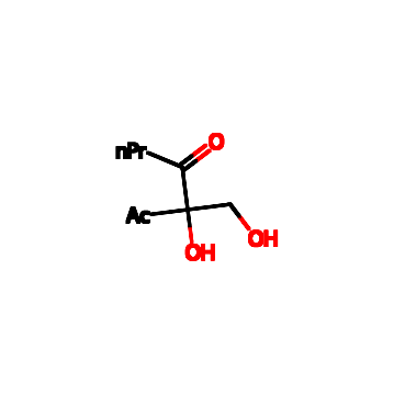 CCCC(=O)C(O)(CO)C(C)=O